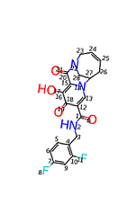 O=C(NCc1ccc(F)cc1F)c1cn2c(c(O)c1=O)C(=O)N1CC=CCC2C1